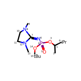 CC(C)C(C)OP(=O)(N=C1N(C)CCN1C)OC(C)(C)C